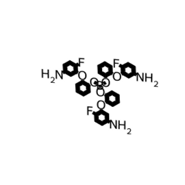 Nc1ccc(F)c(Oc2ccccc2OB(Oc2ccccc2Oc2cc(N)ccc2F)Oc2ccccc2Oc2cc(N)ccc2F)c1